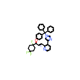 O=C(/C=C/c1ncccc1-c1cn(C(c2ccccc2)(c2ccccc2)c2ccccc2)cn1)C1(F)CCC(F)(F)CC1